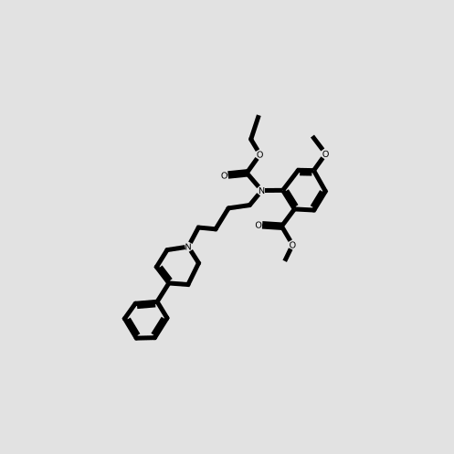 CCOC(=O)N(CCCCN1CC=C(c2ccccc2)CC1)c1cc(OC)ccc1C(=O)OC